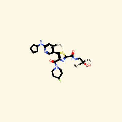 Cc1cc(NC2CCCC2)ncc1-c1sc(C(=O)NCC(C)(C)O)nc1C(=O)N1CCC(F)CC1